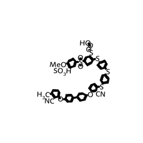 COc1ccc(S(=O)(=O)c2ccc(Sc3ccc(Sc4ccc(Sc5cccc(Oc6ccc(-c7ccc(Oc8cccc(C)c8C#N)cc7)cc6)c5C#N)cc4)cc3)c(SOOO)c2)cc1S(=O)(=O)O